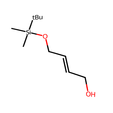 CC(C)(C)[Si](C)(C)OC/C=C/CO